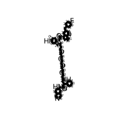 C[C@@H]1CN(CC(=O)N2CC(C)(C)c3ncc(Cc4ccc(F)cc4)cc32)[C@@H](CN(C)CCOCCOCCOCCOCCNCC(C(=O)Nc2ccc3cnccc3c2)c2ccccc2)CN1